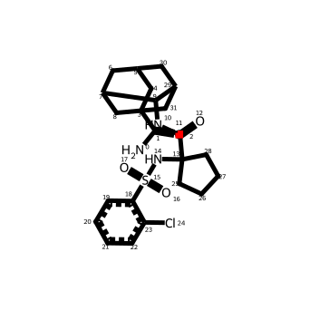 NC(=O)C12CC3CC(C1)C(NC(=O)C1(NS(=O)(=O)c4ccccc4Cl)CCCC1)C(C3)C2